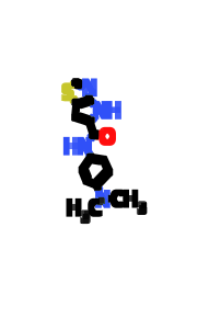 CN(C)c1ccc(NC(=O)c2cc3scnc3[nH]2)cc1